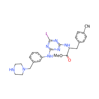 COC(=O)C(Cc1ccc(C#N)cc1)Nc1nc(I)nc(Nc2cccc(CN3CCNCC3)c2)n1